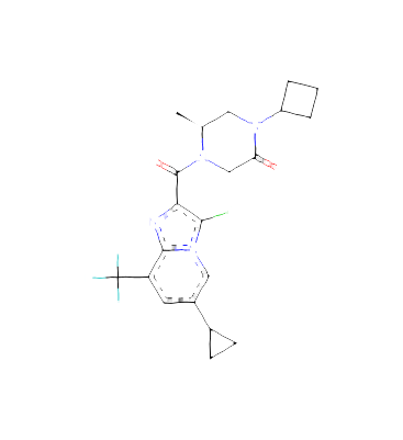 C[C@H]1CN(C2CCC2)C(=O)CN1C(=O)c1nc2c(C(F)(F)F)cc(C3CC3)cn2c1Cl